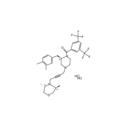 Cc1ccc(C[C@@H]2CN(CC#CCN3[C@@H](C)COC[C@@H]3C)CCN2C(=O)c2cc(C(F)(F)F)cc(C(F)(F)F)c2)cc1C.Cl.Cl